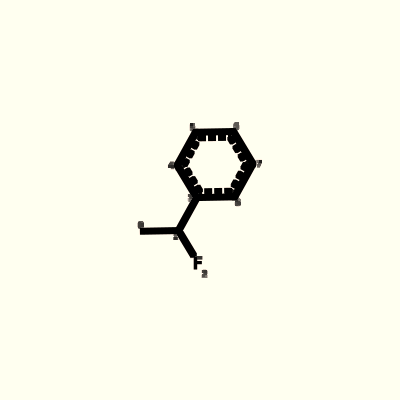 CC(F)c1[c]cccc1